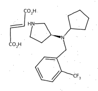 FC(F)(F)c1ccccc1CN(C1CCCC1)[C@H]1CCNC1.O=C(O)C=CC(=O)O